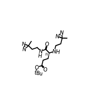 CC1(CCNC(=O)[C@H](CCC(=O)OC(C)(C)C)NCCC2(C)N=N2)N=N1